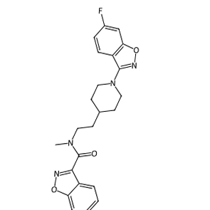 CN(CCC1CCN(c2noc3cc(F)ccc23)CC1)C(=O)c1noc2ccccc12